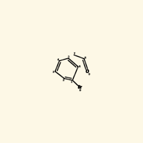 Brc1ccccc1.CC=O